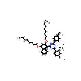 CCCCCCCCOc1cc(OCCCCCCCC)c2ccccc2c1-c1nc(-c2ccc(C)cc2C)nc(-c2ccc(C)cc2C)n1